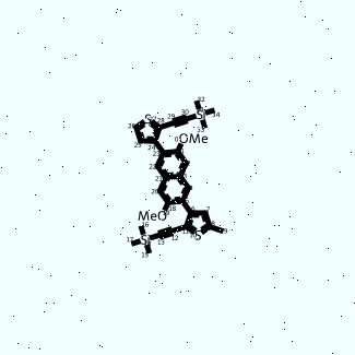 COc1cc2cc(-c3cc(C)sc3C#C[Si](C)(C)C)c(OC)cc2cc1-c1ccsc1C#C[Si](C)(C)C